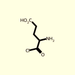 NC(CCC(=O)O)C(=O)Cl